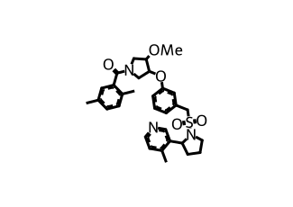 COC1CN(C(=O)c2cc(C)ccc2C)CC1Oc1cccc(CS(=O)(=O)N2CCCC2c2cnccc2C)c1